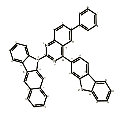 c1ccc(-c2ccc3nc(-n4c5ccccc5c5cc6ccccc6cc54)nc(-c4ccc5c(c4)sc4ccccc45)c3c2)cc1